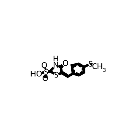 CSc1ccc(C=C2SC(S(=O)(=O)O)NC2=O)cc1